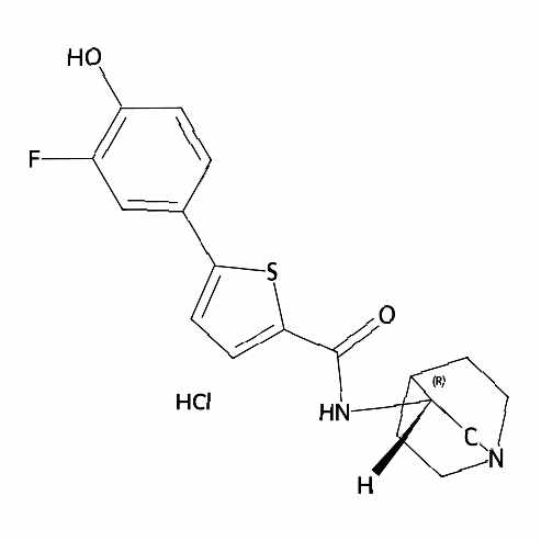 Cl.O=C(N[C@H]1CN2CCC1CC2)c1ccc(-c2ccc(O)c(F)c2)s1